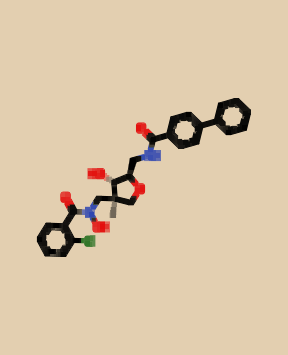 C[C@@]1(CN(O)C(=O)c2ccccc2Cl)CO[C@H](CNC(=O)c2ccc(-c3ccccc3)cc2)[C@H]1O